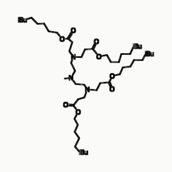 CCC(C)CCCCCOC(=O)CCN(CCC(=O)OCCCCCC(C)CC)CCN(C)CCN(CCC(=O)OCCCCCC(C)CC)CCC(=O)OCCCCCC(C)CC